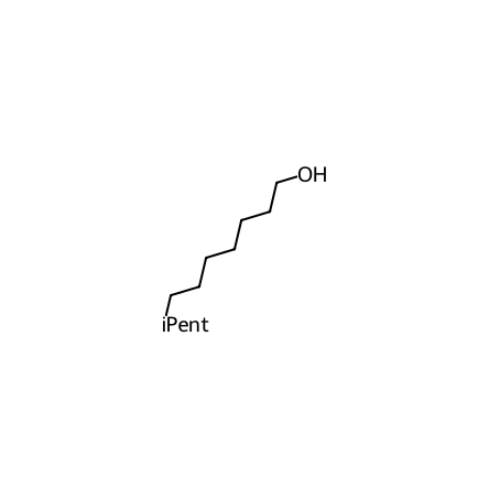 CCCC(C)CCCCCCCO